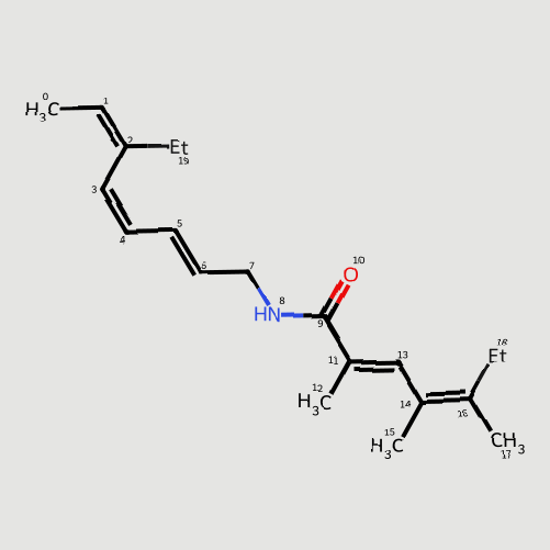 C\C=C(/C=C\C=C\CNC(=O)/C(C)=C/C(C)=C(/C)CC)CC